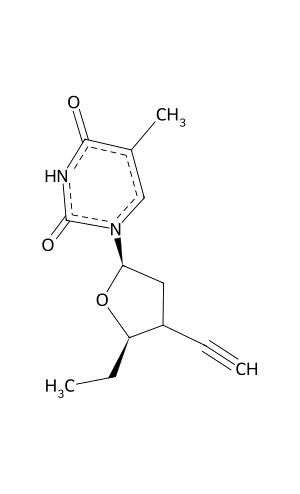 C#CC1C[C@H](n2cc(C)c(=O)[nH]c2=O)O[C@@H]1CC